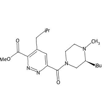 CCC(C)[C@H]1CN(C(=O)c2cc(CC(C)C)c(C(=O)OC)nn2)CCN1C